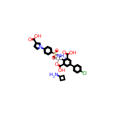 Cc1c(C(=O)O)cc(-c2ccc(Cl)cc2)cc1C(=O)O.NC1CCC1.NS(=O)(=O)c1ccc(-n2ccc(C(=O)O)c2)cc1